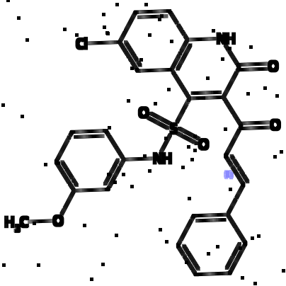 COc1cccc(NS(=O)(=O)c2c(C(=O)/C=C/c3ccccc3)c(=O)[nH]c3ccc(Cl)cc23)c1